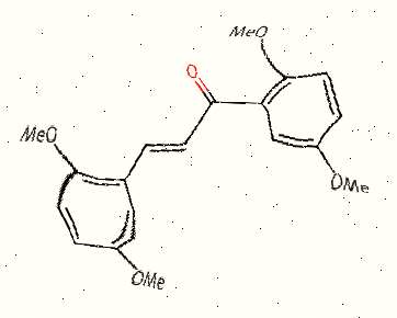 COc1ccc(OC)c(C=CC(=O)c2cc(OC)ccc2OC)c1